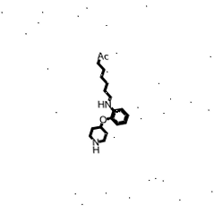 CC(=O)CCCCCCNc1ccccc1OC1CCNCC1